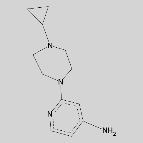 Nc1ccnc(N2CCN(C3CC3)CC2)c1